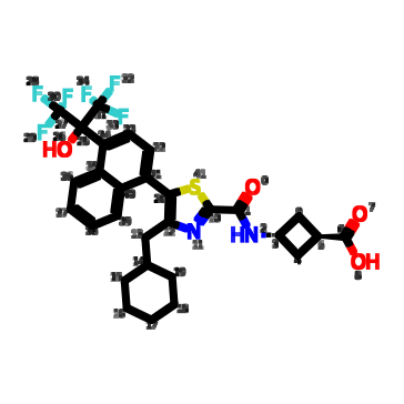 O=C(N[C@H]1C[C@H](C(=O)O)C1)c1nc(CC2CCCCC2)c(-c2ccc(C(O)(C(F)(F)F)C(F)(F)F)c3ccccc23)s1